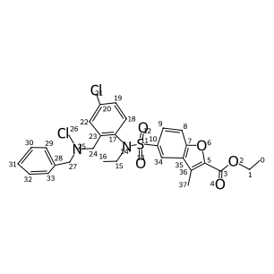 CCOC(=O)c1oc2ccc(S(=O)(=O)N(CC)c3ccc(Cl)cc3CN(Cl)Cc3ccccc3)cc2c1C